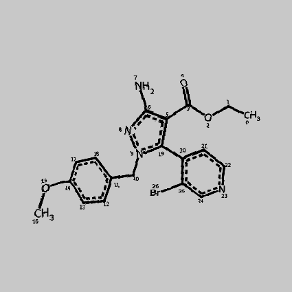 CCOC(=O)c1c(N)nn(Cc2ccc(OC)cc2)c1-c1ccncc1Br